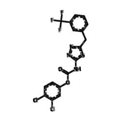 O=C(Nc1nnc(Cc2cccc(C(F)(F)F)c2)s1)Oc1ccc(Cl)c(Cl)c1